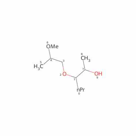 CCCC(OCC(C)OC)C(C)O